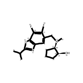 CC(C)c1nc2cc(CN(C)[C@@H]3CCC[C@@H]3O)c(F)c(F)c2o1